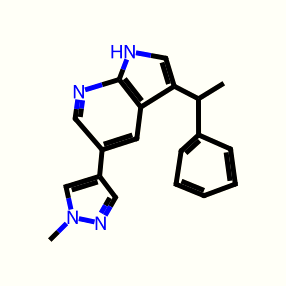 CC(c1ccccc1)c1c[nH]c2ncc(-c3cnn(C)c3)cc12